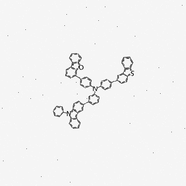 c1ccc(-n2c3ccccc3c3cc(-c4cccc(N(c5ccc(-c6ccc7sc8ccccc8c7c6)cc5)c5ccc(-c6cccc7c6oc6ccccc67)cc5)c4)ccc32)cc1